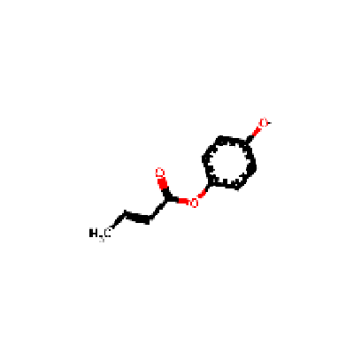 CC=CC(=O)Oc1ccc([O])cc1